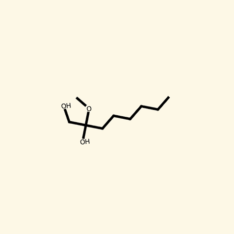 CCCCCCC(O)(CO)OC